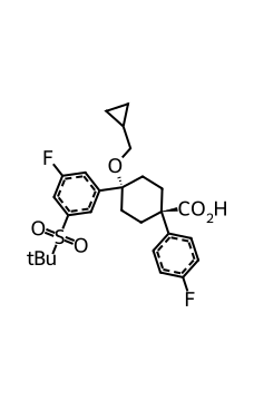 CC(C)(C)S(=O)(=O)c1cc(F)cc([C@]2(OCC3CC3)CC[C@@](C(=O)O)(c3ccc(F)cc3)CC2)c1